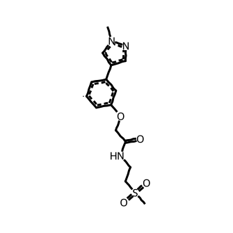 Cn1cc(-c2c[c]cc(OCC(=O)NCCS(C)(=O)=O)c2)cn1